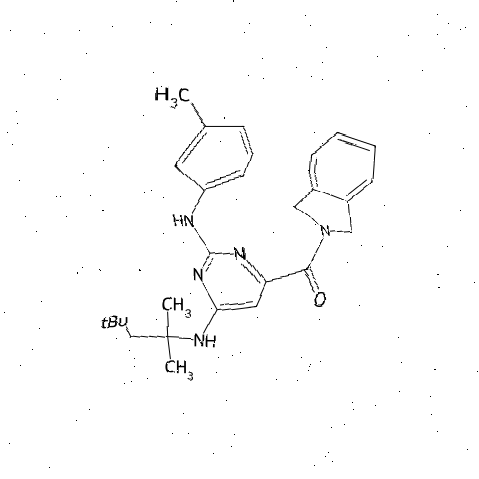 Cc1cccc(Nc2nc(NC(C)(C)CC(C)(C)C)cc(C(=O)N3Cc4ccccc4C3)n2)c1